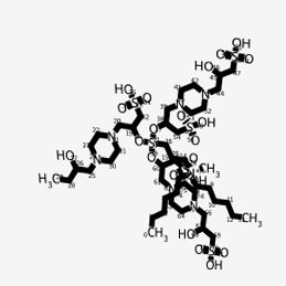 CCCCCC[N+](C)(CCCCCC)CCC[Si](OC(CN1CCN(CC(O)CC)CC1)CS(=O)(=O)O)(OC(CN1CCN(CC(O)CS(=O)(=O)O)CC1)CS(=O)(=O)O)OC(CN1CCN(CC(O)CS(=O)(=O)O)CC1)CS(=O)(=O)O